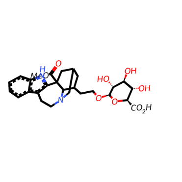 COC(=O)C12CC3CC(CCO[C@@H]4O[C@H](C(=O)O)[C@@H](O)[C@H](O)[C@H]4O)C1N(CCc1c2[nH]c2ccccc12)C3